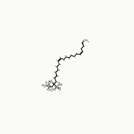 CCCC/C=C\CCCCCC/C=C\CCCCCCCC(O)(C[N+](C)(C)C)P(=O)(O)O